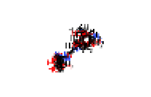 CC[C@H]1OC(=O)[C@H](C)[C@@H](OC2CC(C)(OC)C(OC(=O)NCCCCCC(=O)NCCNC3C(O)=C(C(N)=O)C(=O)[C@@]4(O)C(O)=C5C(=O)c6c(O)cccc6[C@@](C)(O)[C@H]5C[C@@H]34)C(C)O2)[C@H](C)[C@@H](OC2OC(C)CC(N(C)C)C2O)[C@](C)(O)C[C@@H](C)[C@H](N)[C@H](C)[C@@H](O)[C@]1(C)O